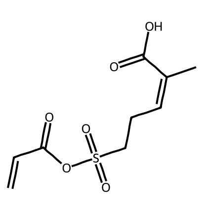 C=CC(=O)OS(=O)(=O)CCC=C(C)C(=O)O